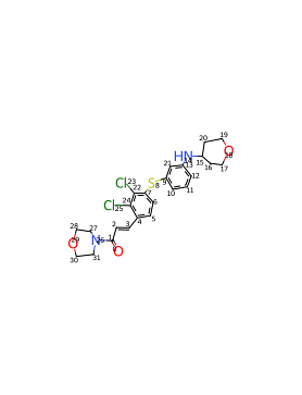 O=C(/C=C/c1ccc(Sc2cccc(NC3CCOCC3)c2)c(Cl)c1Cl)N1CCOCC1